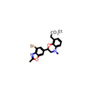 CCOC(=O)Cc1cccc2c1OC(c1cc(Br)c3nc(C)oc3c1)CN2C